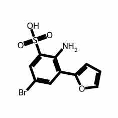 Nc1c(-c2ccco2)cc(Br)cc1S(=O)(=O)O